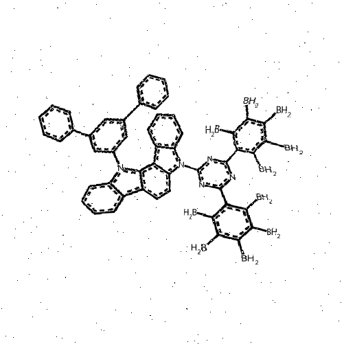 Bc1c(B)c(B)c(-c2nc(-c3c(B)c(B)c(B)c(B)c3B)nc(-n3c4ccccc4c4c3ccc3c5ccccc5n(-c5cc(-c6ccccc6)cc(-c6ccccc6)c5)c34)n2)c(B)c1B